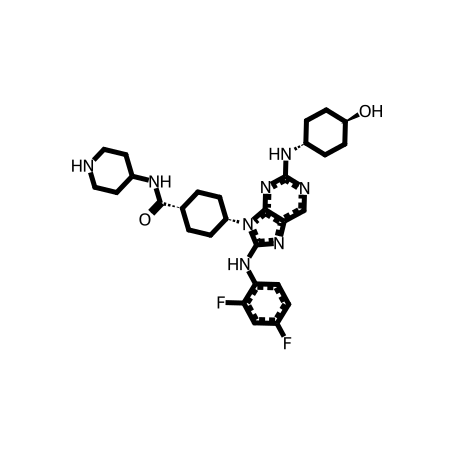 O=C(NC1CCNCC1)[C@H]1CC[C@@H](n2c(Nc3ccc(F)cc3F)nc3cnc(N[C@H]4CC[C@H](O)CC4)nc32)CC1